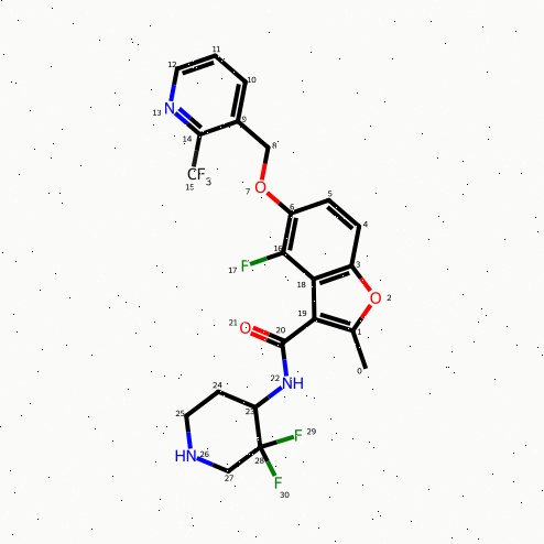 Cc1oc2ccc(OCc3cccnc3C(F)(F)F)c(F)c2c1C(=O)NC1CCNCC1(F)F